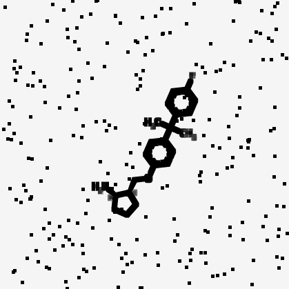 CC(C)(c1ccc(F)cc1)c1ccc(OC[C@H]2CCC[C@H]2N)cc1